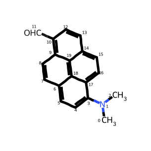 CN(C)c1ccc2ccc3c(C=O)ccc4ccc1c2c43